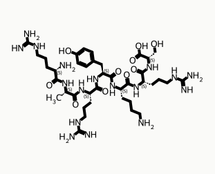 C[C@H](NC(=O)[C@@H](N)CCCNC(=N)N)C(=O)N[C@@H](CCCNC(=N)N)C(=O)N[C@@H](Cc1ccc(O)cc1)C(=O)N[C@@H](CCCCN)C(=O)N[C@@H](CCCNC(=N)N)C(=O)N[C@@H](CO)C(=O)O